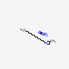 CCCCCCCCCCCCCCN1CCC(C)C1.N#CN.N#CN